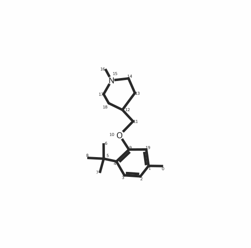 Cc1ccc(C(C)(C)C)c(OCC2CCN(C)CC2)c1